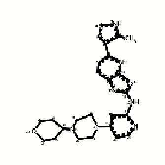 Cc1[nH]ncc1-c1ccc2nc(Nc3cc(N4CCN(C5CCOCC5)CC4)ccn3)sc2n1